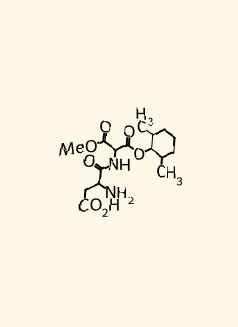 COC(=O)C(NC(=O)C(N)CC(=O)O)C(=O)OC1C(C)CCCC1C